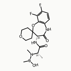 CB(O)N(C)[C@@H](C)C(=O)N[C@H]1C(=O)Nc2ccc(F)c(F)c2OC12CCOCC2